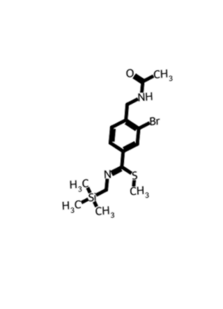 CSC(=NC[Si](C)(C)C)c1ccc(CNC(C)=O)c(Br)c1